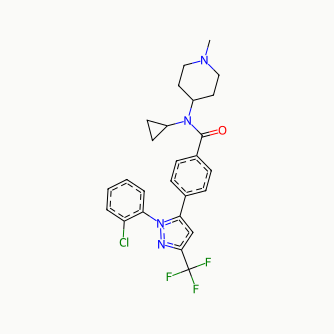 CN1CCC(N(C(=O)c2ccc(-c3cc(C(F)(F)F)nn3-c3ccccc3Cl)cc2)C2CC2)CC1